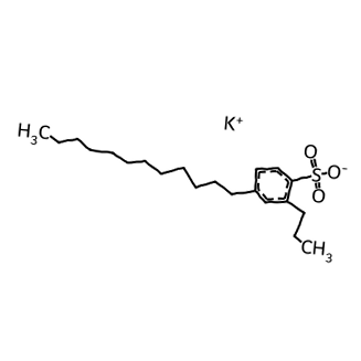 CCCCCCCCCCCCc1ccc(S(=O)(=O)[O-])c(CCC)c1.[K+]